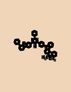 CC1(C)c2ccccc2-c2c1ccc1c2c2ccccc2n1-c1ccc(C2N=C(c3ccccc3)N=C(c3ccc4c(c3)oc3c(-c5ccccc5)cccc34)N2)cc1